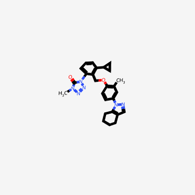 Cc1cc(-n2ncc3c2CCCC3)ccc1OCc1c(C2CC2)cccc1-n1nnn(C)c1=O